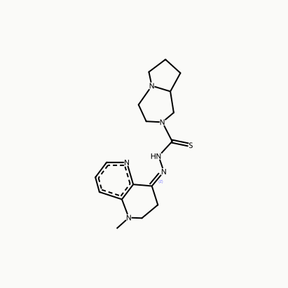 CN1CC/C(=N/NC(=S)N2CCN3CCCC3C2)c2ncccc21